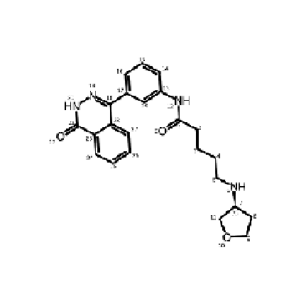 O=C(CCCCN[C@H]1CCOC1)Nc1cccc(-c2n[nH]c(=O)c3ccccc23)c1